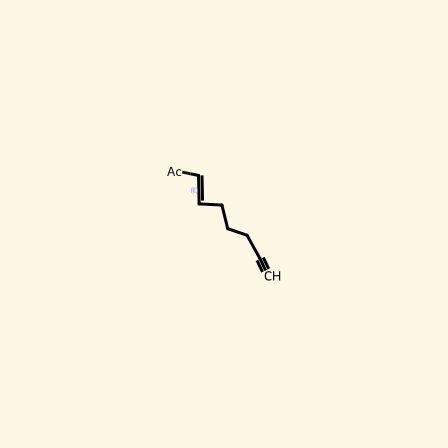 C#CCCC/C=C/C(C)=O